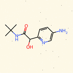 CC(C)(C)NC(=O)C(O)c1ccc(N)cn1